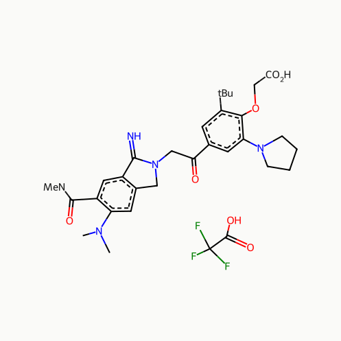 CNC(=O)c1cc2c(cc1N(C)C)CN(CC(=O)c1cc(N3CCCC3)c(OCC(=O)O)c(C(C)(C)C)c1)C2=N.O=C(O)C(F)(F)F